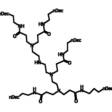 CCCCCCCCCCCCCNC(=O)CCN(CCC(=O)NCCCCCCCCCCCC)CCN(CCNCCN(CCC(=O)NCCCCCCCCCCCC)CCC(=O)NCCCCCCCCCCCC)CCC(=O)NCCCCCCCCCCCC